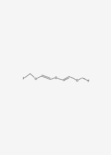 FCOC=COC=COCF